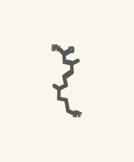 CC(C=CCC(C)CCCC(C)C)=CC(=O)C(C)C